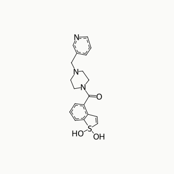 O=C(c1cccc2c1C=CS2(O)O)N1CCN(Cc2cccnc2)CC1